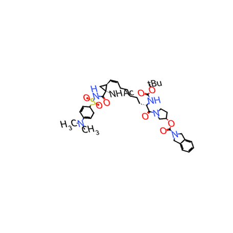 CC(=O)N[C@]1(C(=O)NS(=O)(=O)C2C=CC(N(C)C)=CC2)C[C@H]1/C=C\CCCCC[C@H](NC(=O)OC(C)(C)C)C(=O)N1CC[C@@H](OC(=O)N2Cc3ccccc3C2)C1